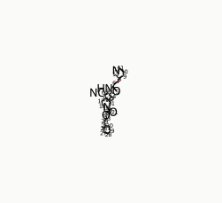 N#Cc1c(NC(=O)/C=C/c2cccnc2)sc2c1CCN(C(=O)OCCc1ccccc1)C2